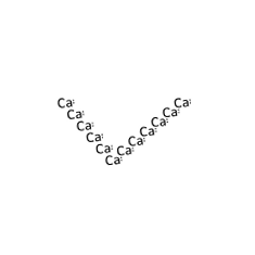 [Ca].[Ca].[Ca].[Ca].[Ca].[Ca].[Ca].[Ca].[Ca].[Ca].[Ca].[Ca]